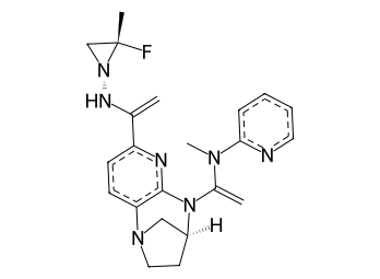 C=C(N[N@]1C[C@]1(C)F)c1ccc2c(n1)N(C(=C)N(C)c1ccccn1)[C@H]1CCN2C1